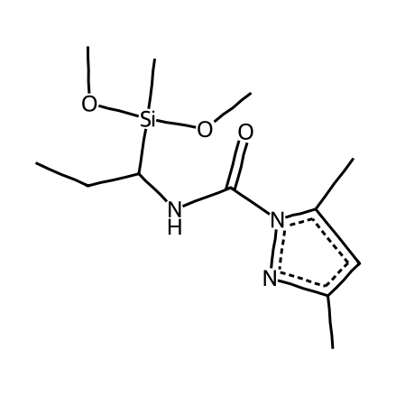 CCC(NC(=O)n1nc(C)cc1C)[Si](C)(OC)OC